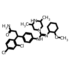 COC1CCCCC1/N=C(/Nc1ccc(C(CC(N)=O)c2ccc(Cl)cc2Cl)cc1)N1CC(C)NC(C)C1